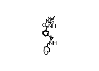 Cc1nnc(NC(=O)c2cccc([C@@H]3CC3NCC3CCOCC3)c2)s1